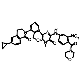 Cn1cc(-c2cccc(N3CCc4cc(C5CC5)ccc4C3=O)c2CO)nc(Nc2ccc(C(=O)N3CCOCC3)c([N+](=O)[O-])c2)c1=O